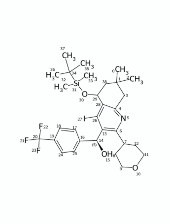 CC1(C)Cc2nc(C3CCOCC3)c([C@@H](O)c3ccc(C(F)(F)F)cc3)c(I)c2C(O[Si](C)(C)C(C)(C)C)C1